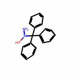 NN(O)C(c1ccccc1)(c1ccccc1)c1ccccc1